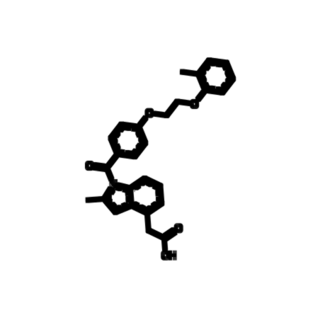 Cc1ccccc1OCCOc1ccc(C(=O)n2c(C)cc3c(CC(=O)O)cccc32)cc1